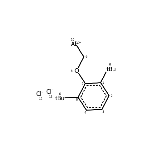 CC(C)(C)c1cccc(C(C)(C)C)c1O[CH2][Al+2].[Cl-].[Cl-]